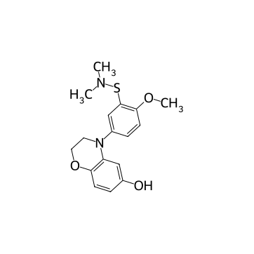 COc1ccc(N2CCOc3ccc(O)cc32)cc1SN(C)C